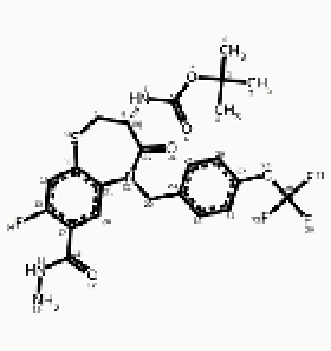 CC(C)(C)OC(=O)N[C@H]1CSc2cc(F)c(C(=O)NN)cc2N(Cc2ccc(OC(F)(F)F)cc2)C1=O